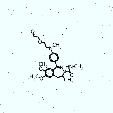 CNC(=O)N1N=C(c2ccc(N(C)CCOCC=O)cc2)c2cc(OC)c(OC)cc2CC1C